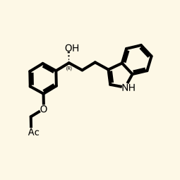 CC(=O)COc1cccc([C@H](O)CCc2c[nH]c3ccccc23)c1